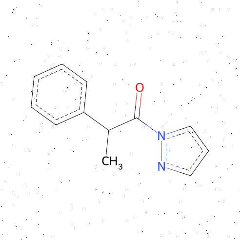 CC(C(=O)n1cccn1)c1ccccc1